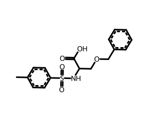 Cc1ccc(S(=O)(=O)NC(COCc2ccccc2)C(=O)O)cc1